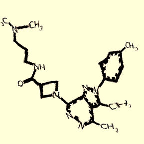 Cc1ccc(-n2nc3c(N4CC(C(=O)NCCCN(C)C)C4)nnc(C)c3c2C)cc1